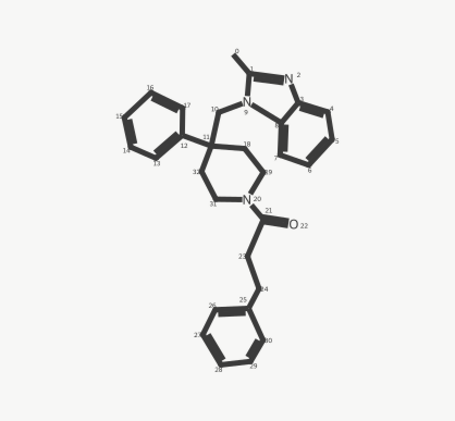 Cc1nc2ccccc2n1CC1(c2ccccc2)CCN(C(=O)CCc2ccccc2)CC1